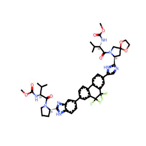 COC(=O)N[C@H](C(=O)N1CC2(C[C@H]1c1ncc(-c3ccc4c(c3)C(F)(F)C(F)(F)c3cc(-c5ccc6[nH]c([C@@H]7CCCN7C(=O)[C@@H](NC(=O)OC)C(C)C)nc6c5)ccc3-4)[nH]1)OCCO2)C(C)C